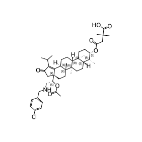 CC(=O)O[C@H](CNCc1ccc(Cl)cc1)[C@@]12CC[C@]3(C)[C@H](CC[C@@H]4[C@@]5(C)CC[C@H](OC(=O)CC(C)(C)C(=O)O)[C@H](C)[C@@H]5CC[C@]43C)C1=C(C(C)C)C(=O)C2